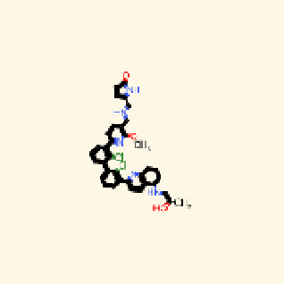 COc1nc(-c2cccc(-c3cccc(-c4ccc5c(n4)CCC[C@@H]5NC[C@H](C)O)c3Cl)c2Cl)ccc1CNC[C@H]1CCC(=O)N1